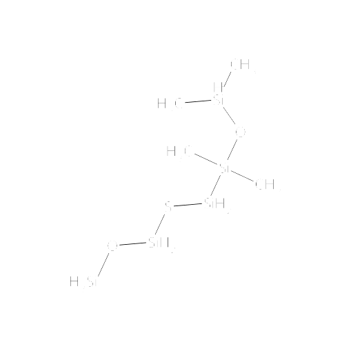 C[SiH](C)O[Si](C)(C)[SiH2]S[SiH2]O[SiH3]